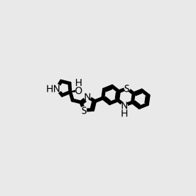 O[C@]1(Cc2nc(-c3ccc4c(c3)Nc3ccccc3S4)cs2)CCNC1